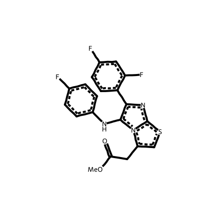 COC(=O)Cc1csc2nc(-c3ccc(F)cc3F)c(Nc3ccc(F)cc3)n12